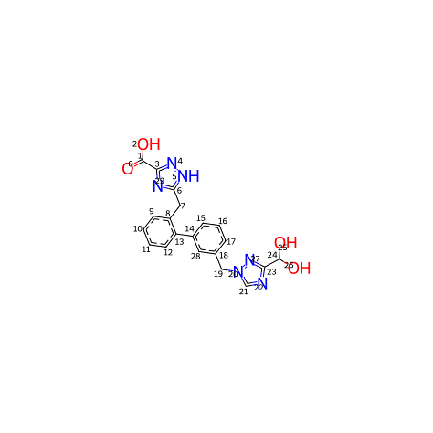 O=C(O)c1n[nH]c(Cc2ccccc2-c2cccc(Cn3cnc(C(O)O)n3)c2)n1